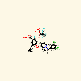 C[C@@H]1[C@H](Oc2cc(F)c(C(=O)O)cc2C2CC2)CCCN1Cc1cc(Cl)cc(Cl)c1.O=C(O)C(F)(F)F